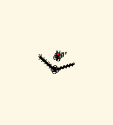 CCCCCCCCCCCOS(=O)(=O)OCCCCCCCCCCC.O=S(=O)([O-])[O-].[Na+].[Na+]